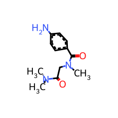 CN(C)C(=O)CN(C)C(=O)c1ccc(N)cc1